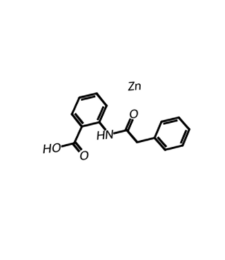 O=C(Cc1ccccc1)Nc1ccccc1C(=O)O.[Zn]